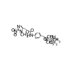 Cn1c(COC(=O)Nc2ccc(CO[Si](C)(C)C(C)(C)C)cc2)cnc1[N+](=O)[O-]